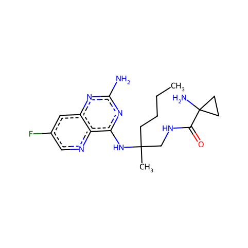 CCCCC(C)(CNC(=O)C1(N)CC1)Nc1nc(N)nc2cc(F)cnc12